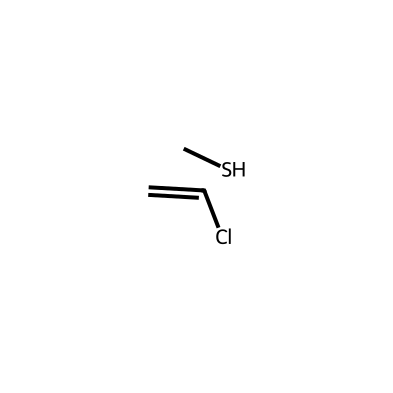 C=CCl.CS